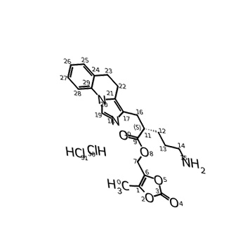 Cc1oc(=O)oc1COC(=O)[C@@H](CCCN)Cc1ncn2c1CCc1ccccc1-2.Cl.Cl